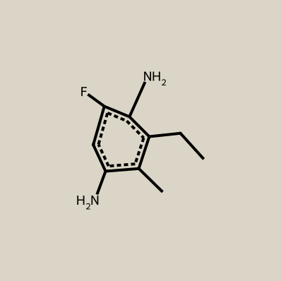 CCc1c(C)c(N)cc(F)c1N